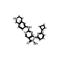 CC(C)n1c(=O)c2cnc(Nc3ccc4c(c3)CCNC4)nc2n1-c1cccc(C2CCC2)n1